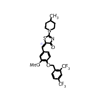 COc1cc(/C=C2/SC(N3CCC(C)CC3)=NC2=O)ccc1OCc1ccc(C(F)(F)F)cc1C(F)(F)F